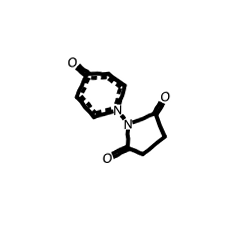 O=C1CCC(=O)N1n1ccc(=O)cc1